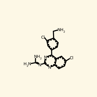 NCc1ccc(-c2nc(N=C(N)N)nc3ccc(Cl)cc23)cc1Cl